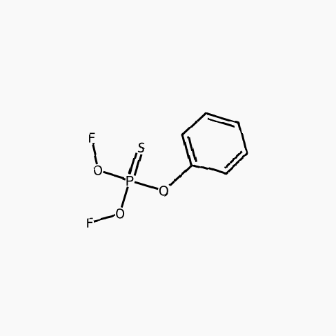 FOP(=S)(OF)Oc1ccccc1